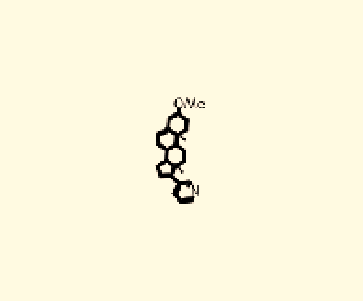 COC1CC[C@@]2(C)C(=CCC3C2CC[C@]2(C)C(c4cccnc4)=CCC32)C1